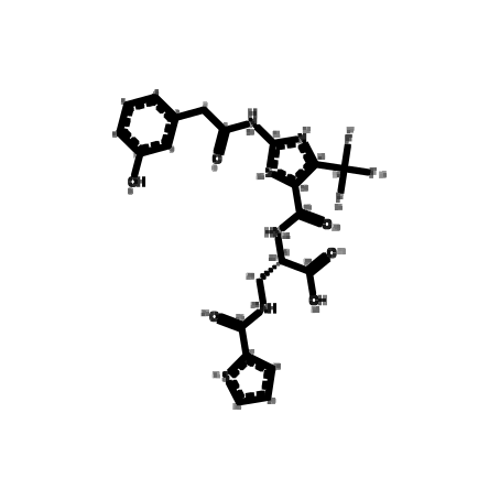 O=C(Cc1cccc(O)c1)Nc1nc(C(F)(F)F)c(C(=O)N[C@@H](CNC(=O)c2cccs2)C(=O)O)s1